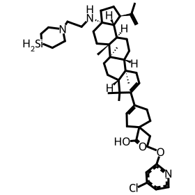 C=C(C)[C@@H]1CC[C@]2(NCCN3CC[SiH2]CC3)CC[C@]3(C)[C@H](CC[C@@H]4[C@@]5(C)CC=C(C6=CCC(CCOc7cc(Cl)ccn7)(C(=O)O)CC6)C(C)(C)[C@@H]5CC[C@]43C)[C@@H]12